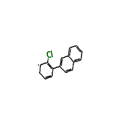 ClC1=C(c2ccc3ccccc3c2)C=CC[CH]1